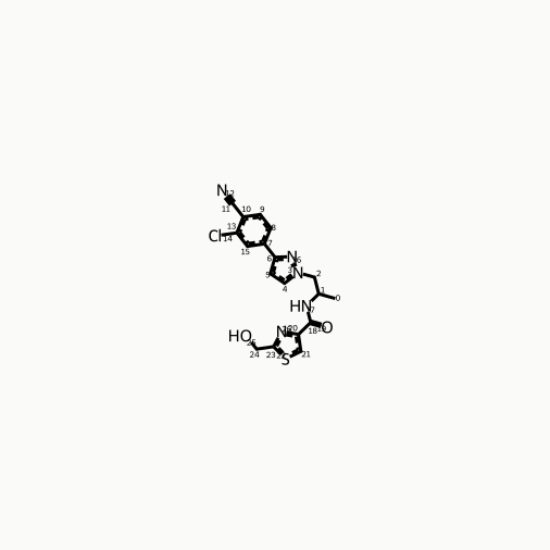 CC(Cn1ccc(-c2ccc(C#N)c(Cl)c2)n1)NC(=O)c1csc(CO)n1